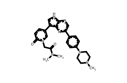 CN1CCN(c2ccc(-c3cnc4[nH]cc(-c5ccc(=O)n(CC(=O)N(C)C)c5)c4n3)cc2)CC1